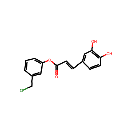 O=C(C=Cc1ccc(O)c(O)c1)Oc1cccc(CCl)c1